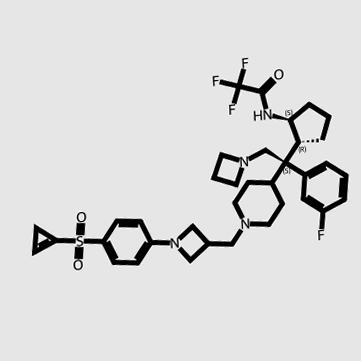 O=C(N[C@H]1CCC[C@@H]1[C@](CN1CCC1)(c1cccc(F)c1)C1CCN(CC2CN(c3ccc(S(=O)(=O)C4=CC4)cc3)C2)CC1)C(F)(F)F